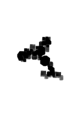 CN(C)CCOc1ccc(Sc2ccc(Sc3nnc[nH]3)nc2C(=O)Nc2nc3cccnc3s2)cc1